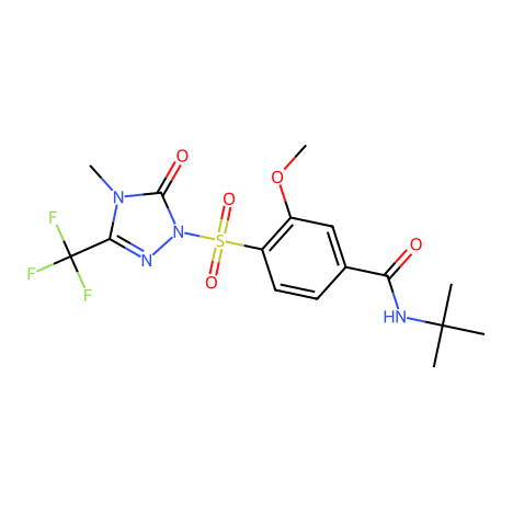 COc1cc(C(=O)NC(C)(C)C)ccc1S(=O)(=O)n1nc(C(F)(F)F)n(C)c1=O